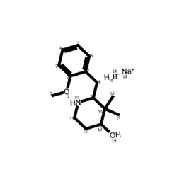 COc1ccccc1CC1NCCC(O)C1(C)C.[BH4-].[Na+]